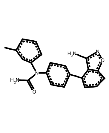 Cc1cccc(N(C(N)=O)c2ccc(-c3cccc4onc(N)c34)cc2)c1